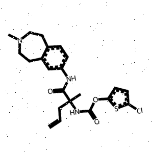 C=CCC(C)(NC(=O)Oc1ccc(Cl)s1)C(=O)Nc1ccc2c(c1)CCN(C)CC2